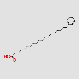 O=C(O)CCCCCCCCCCCCCCCCCCc1ccccc1